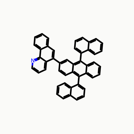 c1ccc2c(-c3c4ccccc4c(-c4cccc5ccccc45)c4cc(-c5cc6ccccc6c6ncccc56)ccc34)cccc2c1